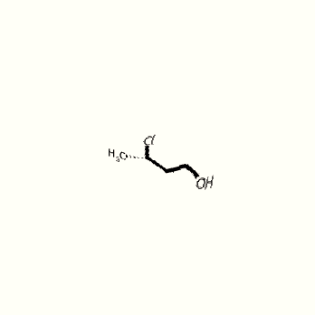 C[C@H](Cl)CCO